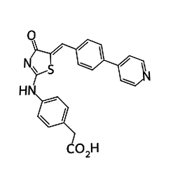 O=C(O)Cc1ccc(NC2=NC(=O)C(=Cc3ccc(-c4ccncc4)cc3)S2)cc1